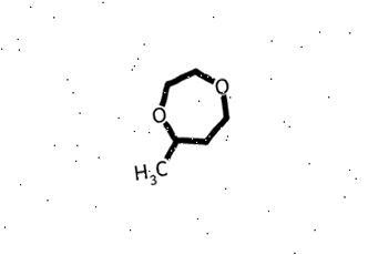 CC1CCOCCO1